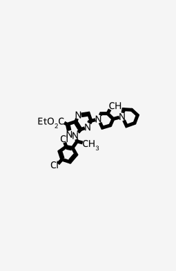 CCOC(=O)c1nn(C(C)c2ccc(Cl)cc2Cl)c2nc(N3CCC(N4CCCCC4)C(C)C3)cnc12